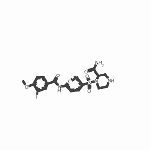 COc1ccc(C(=O)Nc2ccc(S(=O)(=O)N3CCNCC3C(N)=O)cc2)cc1I